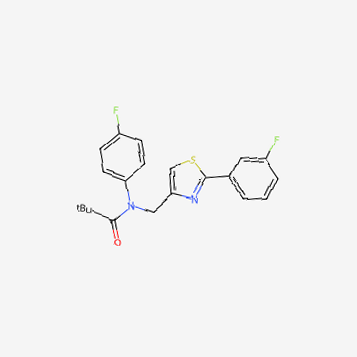 CC(C)(C)C(=O)N(Cc1csc(-c2cccc(F)c2)n1)c1ccc(F)cc1